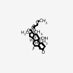 COCC(=O)O[C@]1(C(=O)S)[C@H](C)C[C@H]2[C@@H]3C[C@H](F)C4=CC(=O)C=C[C@]4(C)[C@@]3(F)[C@@H](O)C[C@@]21C